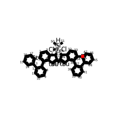 CCc1ccc2c(c1-c1ccccc1-c1ccccc1)C=C(C(C)(C)C)[CH]2[Zr]([Cl])([Cl])([CH]1C(C(C)(C)C)=Cc2c1ccc(CC)c2-c1ccccc1-c1ccccc1)[SiH](C)C